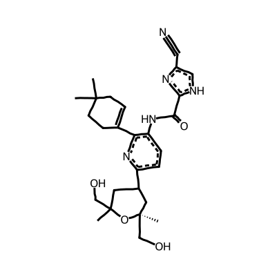 CC1(C)CC=C(c2nc(C3CC(C)(CO)O[C@](C)(CO)C3)ccc2NC(=O)c2nc(C#N)c[nH]2)CC1